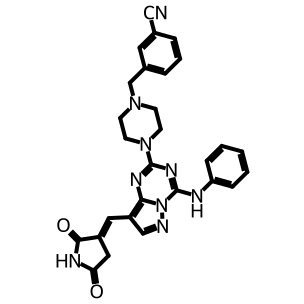 N#Cc1cccc(CN2CCN(c3nc(Nc4ccccc4)n4ncc(/C=C5\CC(=O)NC5=O)c4n3)CC2)c1